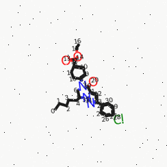 CCCCCC1CN(C2=CC=C(C(=O)OCC)CC2)C(=O)c2cc(-c3ccc(Cl)cc3)nn21